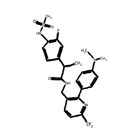 CC(C(=O)NCc1ccc(C(F)(F)F)nc1-c1ccc(N(C)C)cc1)c1ccc(NS(C)(=O)=O)c(F)c1